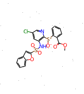 COC(=O)c1ccccc1[S+]([O-])c1ncc(Cl)cc1NS(=O)(=O)c1cc2ccccc2o1